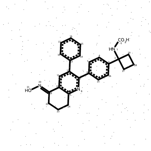 O=C(O)NC1(c2ccc(-c3nc4c(cc3-c3ccccc3)C(=NO)CCC4)cc2)CCC1